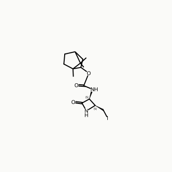 CC1(C)C2CCC1(C)C(OC(=O)N[C@@H]1C(=O)N[C@@H]1CI)C2